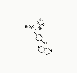 CCCCOC(=O)NC(Cc1ccc(Nc2nccc3ccncc23)cc1)C(=O)OCC